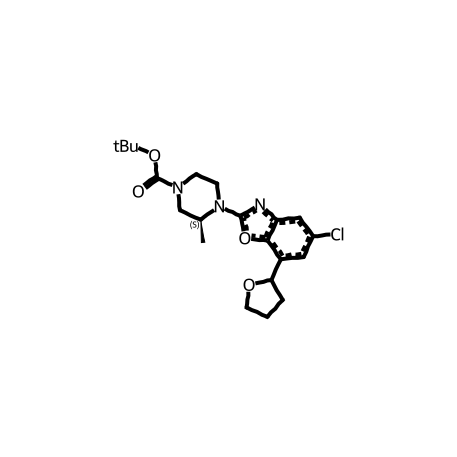 C[C@H]1CN(C(=O)OC(C)(C)C)CCN1c1nc2cc(Cl)cc(C3CCCO3)c2o1